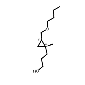 CCCCOC[C@@H]1C[C@@]1(C)CCCO